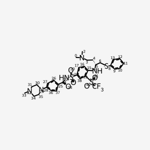 CN(C)CC[C@H](CSc1ccccc1)Nc1ccc(S(=O)(=O)NC(=O)c2ccc(N3CCN(C)CC3)cc2)cc1S(=O)(=O)C(F)(F)F